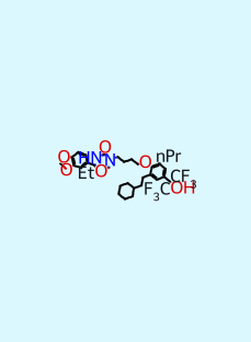 CCCc1cc(C(O)(C(F)(F)F)C(F)(F)F)cc(CCC2CCCCC2)c1OCCCCN1COC(CC)(c2ccc3c(c2)OCO3)NC1=O